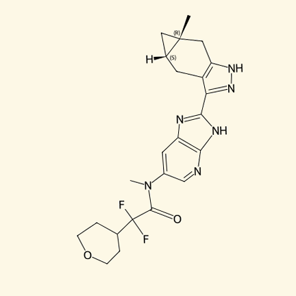 CN(C(=O)C(F)(F)C1CCOCC1)c1cnc2[nH]c(-c3n[nH]c4c3C[C@@H]3C[C@]3(C)C4)nc2c1